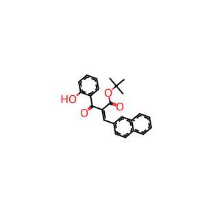 CC(C)(C)OC(=O)C(=Cc1ccc2ccccc2c1)C(=O)c1ccccc1O